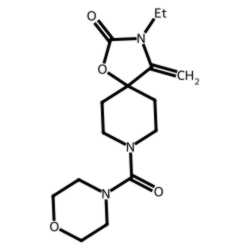 C=C1N(CC)C(=O)OC12CCN(C(=O)N1CCOCC1)CC2